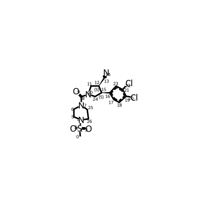 CS(=O)(=O)N1CCN(C(=O)N2C[C@@H](C#N)[C@@H](c3ccc(Cl)c(Cl)c3)C2)CC1